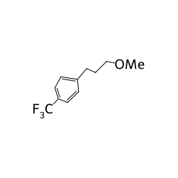 COCCCc1ccc(C(F)(F)F)cc1